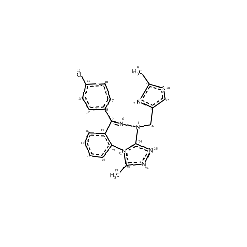 Cc1nc(CN2N=C(c3ccc(Cl)cc3)c3ccccc3-n3c(C)nnc32)cs1